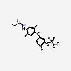 CCN(C)/C=N/c1cc(C)c(Oc2ccc(F)c(SC(F)(F)C(F)F)c2)cc1C